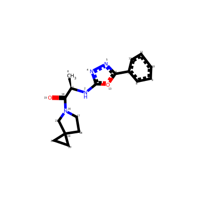 C[C@@H](Nc1nnc(-c2ccccc2)o1)C(=O)N1CCC2(CC2)C1